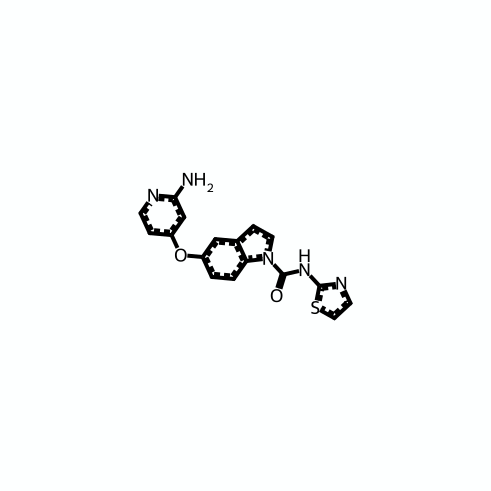 Nc1cc(Oc2ccc3c(ccn3C(=O)Nc3nccs3)c2)ccn1